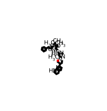 Cc1c(NCC(NC(=O)OCc2ccccc2)C(=O)OC(C)(C)C)ncnc1N1CCC(c2ccc3c(n2)NCCC3)CC1